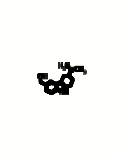 CN(C)C1CCc2[nH]c3ccc(CO)cc3c2C1